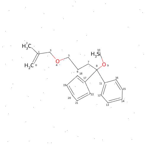 C=C(C)COCCCC(O[SiH3])(c1ccccc1)c1ccccc1